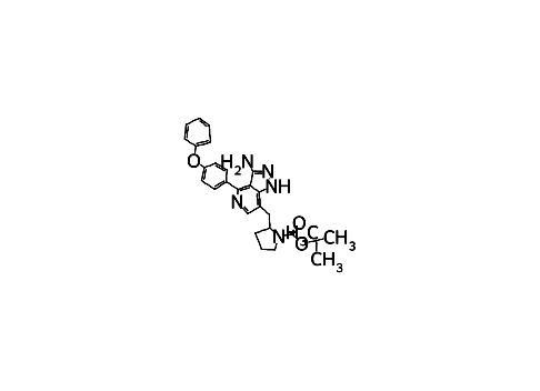 CC(C)(C)OC(=O)N1CCCC1Cc1cnc(-c2ccc(Oc3ccccc3)cc2)c2c(N)n[nH]c12